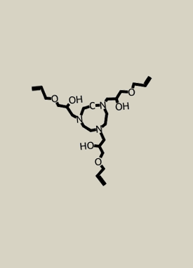 C=CCOCC(O)CN1CCN(CC(O)COCC=C)CCN(CC(O)COCC=C)CC1